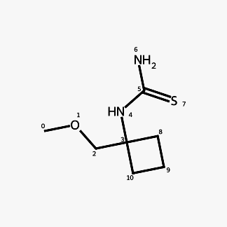 COCC1(NC(N)=S)CCC1